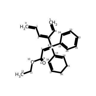 C=C/C=C(\C=C)P(=CC(=O)OCC)(C1=CCCC=C1)c1ccccc1